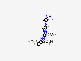 COc1cc(N=Nc2cc3c(S(=O)(=O)O)cccc3cc2S(=O)(=O)O)c(C)cc1N=Nc1cc(C)c(N=Nc2cc(C)c(N)cc2C)cc1C